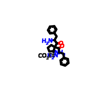 CCOC(=O)C1(N)CCCC1(C(=O)C(N)Cc1ccccc1)C(=O)C(N)Cc1ccccc1